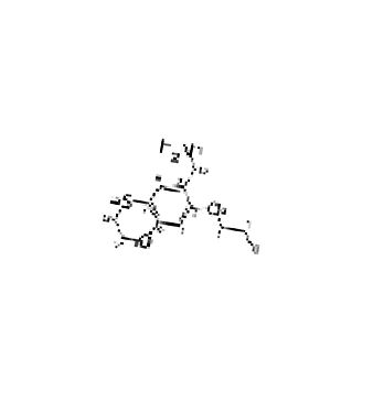 CCCOc1cc2c(cc1CN)SCCO2